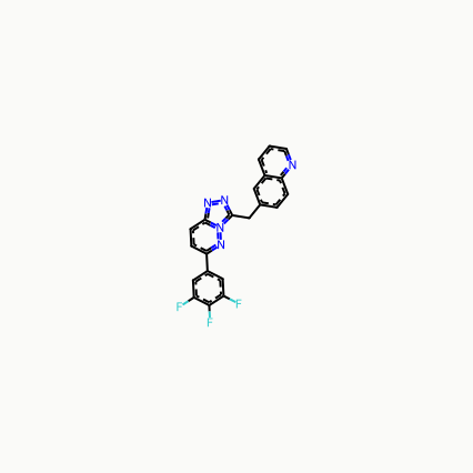 Fc1cc(-c2ccc3nnc(Cc4ccc5ncccc5c4)n3n2)cc(F)c1F